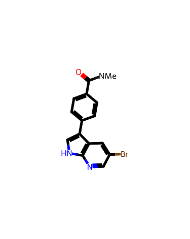 CNC(=O)c1ccc(-c2c[nH]c3ncc(Br)cc23)cc1